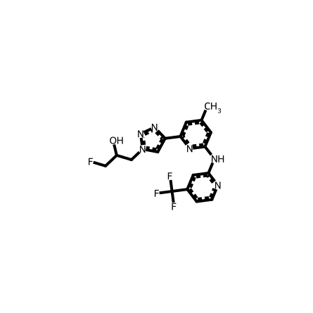 Cc1cc(Nc2cc(C(F)(F)F)ccn2)nc(-c2cn(CC(O)CF)nn2)c1